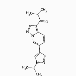 CC(C)C(=O)c1cnn2cc(-c3cnn(C(C)C)c3)ccc12